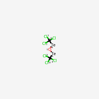 ClC(Cl)(Cl)[Te]O[Te]C(Cl)(Cl)Cl